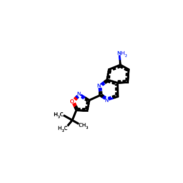 CC(C)(C)c1cc(-c2ncc3ccc(N)cc3n2)no1